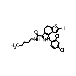 CCCCCNC(=O)c1nn(-c2ccc(Cl)cc2Cl)c2c1CCc1sc(Cl)cc1-2